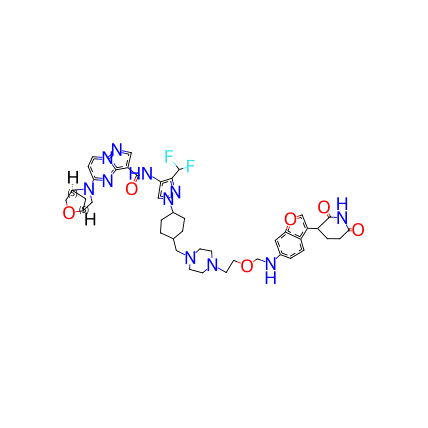 O=C1CCC(c2coc3cc(NCOCCN4CCN(CC5CCC(n6cc(NC(=O)c7cnn8ccc(N9C[C@@H]%10C[C@H]9CO%10)nc78)c(C(F)F)n6)CC5)CC4)ccc23)C(=O)N1